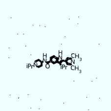 Cc1cc(-c2[nH]c3ccc(C(=O)NC4CCN(C(C)C)CC4)cc3c2C(C)C)cc(C)n1